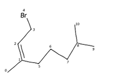 CC(=CCBr)CCCC(C)C